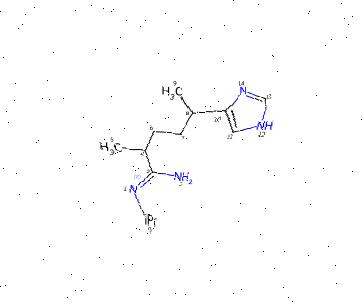 CC(C)/N=C(\N)C(C)CCC(C)c1c[nH]cn1